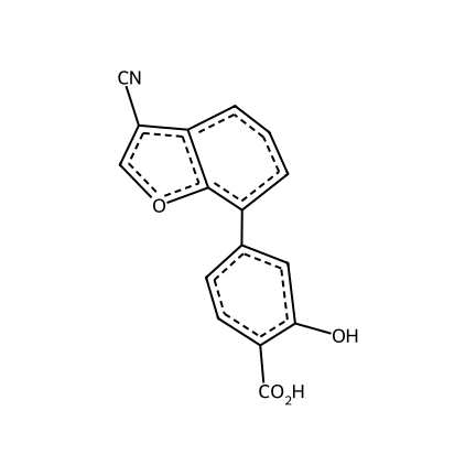 N#Cc1coc2c(-c3ccc(C(=O)O)c(O)c3)cccc12